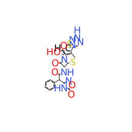 CN1C2=NNN1SC2C1=C(C(=O)O)N2C(=O)[C@@H](NC(=O)C(c3ccccc3)c3noc(=O)[nH]3)C2SC1